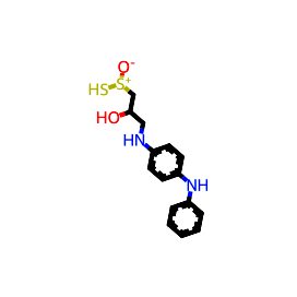 [O-][S+](S)CC(O)CNc1ccc(Nc2ccccc2)cc1